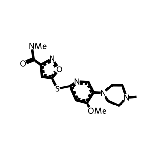 CNC(=O)c1cc(Sc2cc(OC)c(N3CCN(C)CC3)cn2)on1